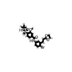 COc1cc(C(=O)Nc2ccc(Br)c(CCC3OCCO3)c2)ccc1S(=O)(=O)NC(C)(C)C